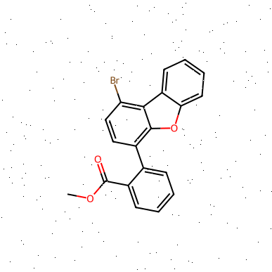 COC(=O)c1ccccc1-c1ccc(Br)c2c1oc1ccccc12